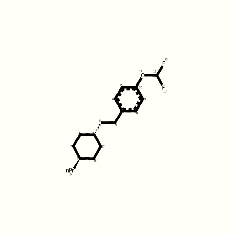 CCC[C@H]1CC[C@H](CCc2ccc(OC(F)F)cc2)CC1